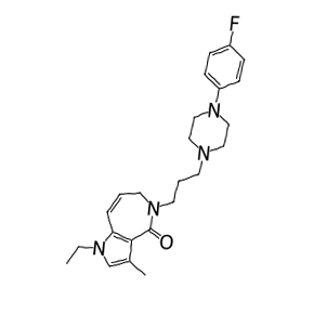 CCn1cc(C)c2c1C=CCN(CCCN1CCN(c3ccc(F)cc3)CC1)C2=O